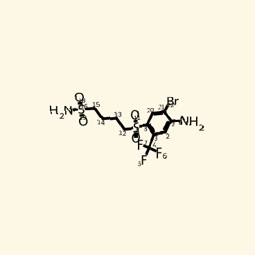 Nc1cc(C(F)(F)F)c(S(=O)(=O)CCCCS(N)(=O)=O)cc1Br